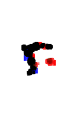 CCCCOCCOc1ccc(-c2ccc3c(c2)/C=C(/C(=O)Nc2ccc([S@+]([O-])Cc4cncn4CCC)cc2)CCCN3CC(C)C)cc1.CS(=O)(=O)O